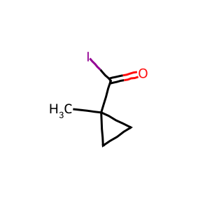 CC1(C(=O)I)CC1